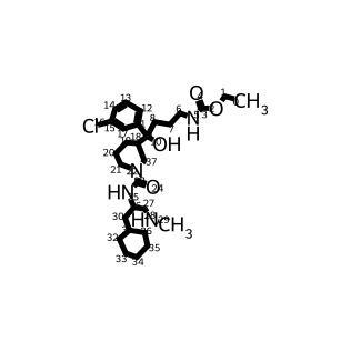 CCOC(=O)NCCCC(O)(c1cccc(Cl)c1)C1CCCN(C(=O)NC(CNC)CC2CCCCC2)C1